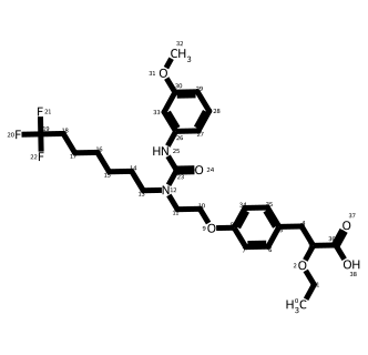 CCOC(Cc1ccc(OCCN(CCCCCCC(F)(F)F)C(=O)Nc2cccc(OC)c2)cc1)C(=O)O